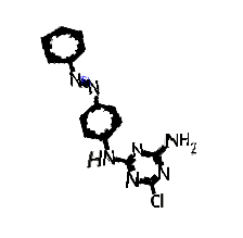 Nc1nc(Cl)nc(Nc2ccc(/N=N/c3ccccc3)cc2)n1